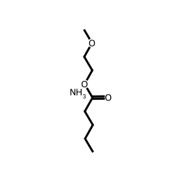 CCCCC(=O)OCCOC.N